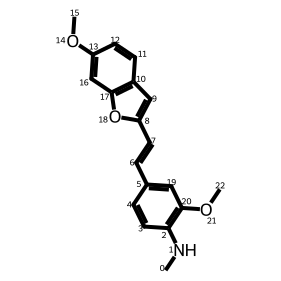 CNc1ccc(C=Cc2cc3ccc(OC)cc3o2)cc1OC